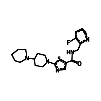 O=C(NCc1ncccc1F)c1cnc(N2CCC(N3CCCCC3)CC2)s1